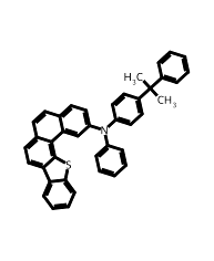 CC(C)(c1ccccc1)c1ccc(N(c2ccccc2)c2ccc3ccc4ccc5c6ccccc6sc5c4c3c2)cc1